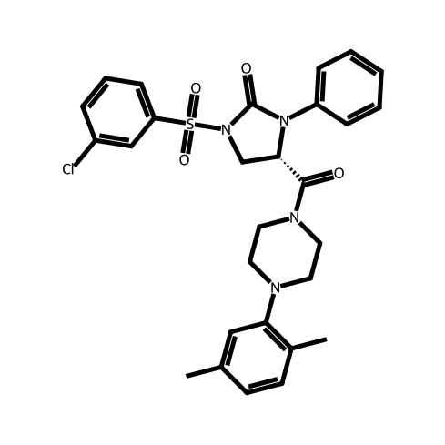 Cc1ccc(C)c(N2CCN(C(=O)[C@@H]3CN(S(=O)(=O)c4cccc(Cl)c4)C(=O)N3c3ccccc3)CC2)c1